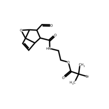 CC(C)(Br)C(=O)OCCNC(=O)C1C(C=O)C2OC23C=CC13